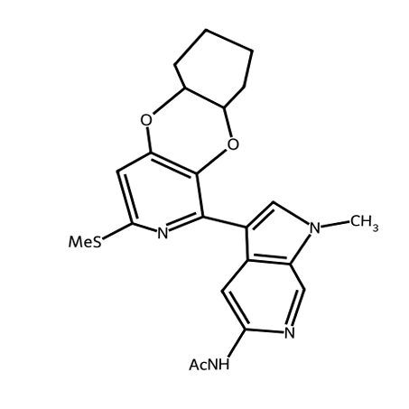 CSc1cc2c(c(-c3cn(C)c4cnc(NC(C)=O)cc34)n1)OC1CCCCC1O2